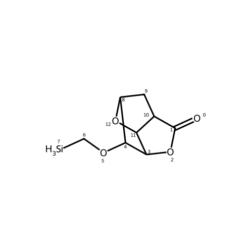 O=C1OC2C(OC[SiH3])C3CC1C2O3